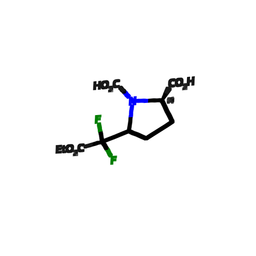 CCOC(=O)C(F)(F)C1CC[C@H](C(=O)O)N1C(=O)O